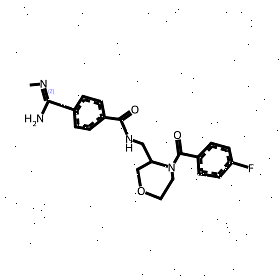 C/N=C(\N)c1ccc(C(=O)NCC2COCCN2C(=O)c2ccc(F)cc2)cc1